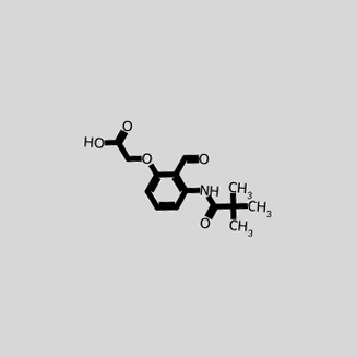 CC(C)(C)C(=O)Nc1cccc(OCC(=O)O)c1C=O